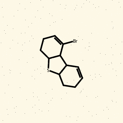 BrC1=CCCC2SC3CCC=CC3C12